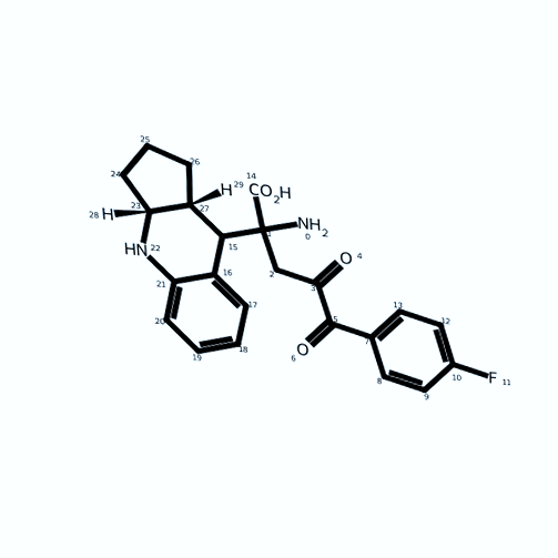 NC(CC(=O)C(=O)c1ccc(F)cc1)(C(=O)O)C1c2ccccc2N[C@@H]2CCC[C@H]12